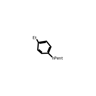 CCCCCc1ccc(CC)cc1